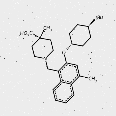 Cc1cc(O[C@H]2CC[C@H](C(C)(C)C)CC2)c(CN2CCC(C)(C(=O)O)CC2)c2ccccc12